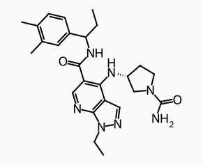 CCC(NC(=O)c1cnc2c(cnn2CC)c1N[C@@H]1CCN(C(N)=O)C1)c1ccc(C)c(C)c1